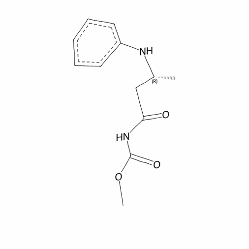 COC(=O)NC(=O)C[C@@H](C)Nc1ccccc1